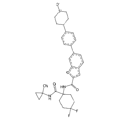 N#CC1(NC(=O)C2(NC(=O)c3cc4ccc(-c5ccc(C6CC[S+]([O-])CC6)cc5)cc4o3)CCC(F)(F)CC2)CC1